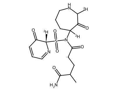 [2H]C1NCCCC([2H])(N(C(=O)[CH]CC(C)C(N)=O)S(=O)(=O)[C@]2([2H])N=CC=CC2=O)C1=O